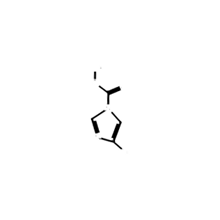 CC(C)(C)OC(=O)n1cnc(Br)c1